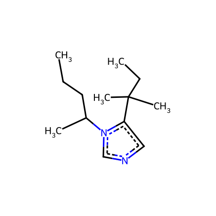 CCCC(C)n1cncc1C(C)(C)CC